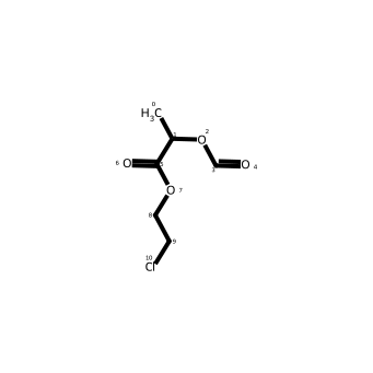 CC(OC=O)C(=O)OCCCl